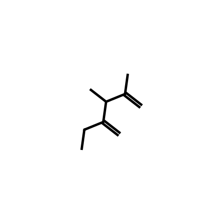 C=C(C)C(C)C(=C)CC